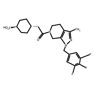 Cc1nn(Cc2cc(F)c(F)c(F)c2)c2c1CCN(C(=O)C[C@H]1CC[C@H](C(=O)O)CC1)C2